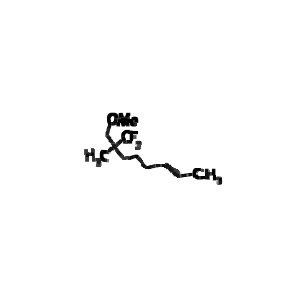 C/C=C/CCCC(C)(COC)C(F)(F)F